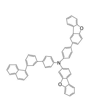 c1cc(-c2ccc(N(c3ccc(-c4ccc5oc6ccccc6c5c4)cc3)c3ccc4c(c3)oc3ccccc34)cc2)cc(-c2cccc3ccccc23)c1